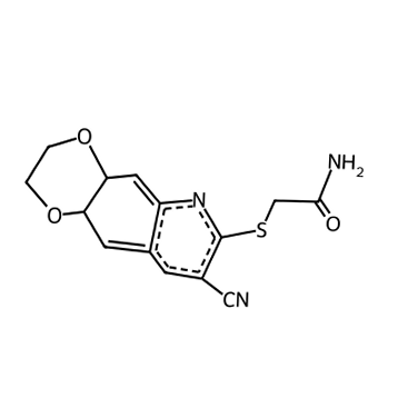 N#Cc1cc2c(nc1SCC(N)=O)=CC1OCCOC1C=2